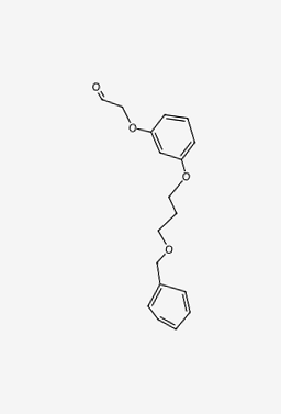 O=CCOc1cccc(OCCCOCc2ccccc2)c1